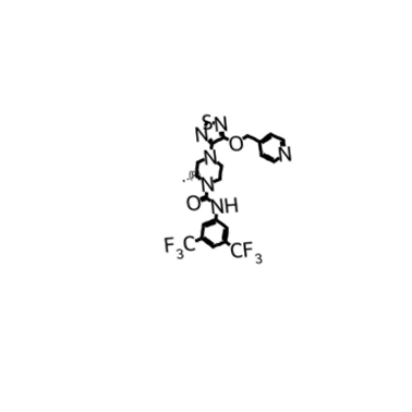 C[C@@H]1CN(c2nsnc2OCc2ccncc2)CCN1C(=O)Nc1cc(C(F)(F)F)cc(C(F)(F)F)c1